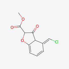 COC(=O)C1OC2=CC=CC(=CCl)C2C1=O